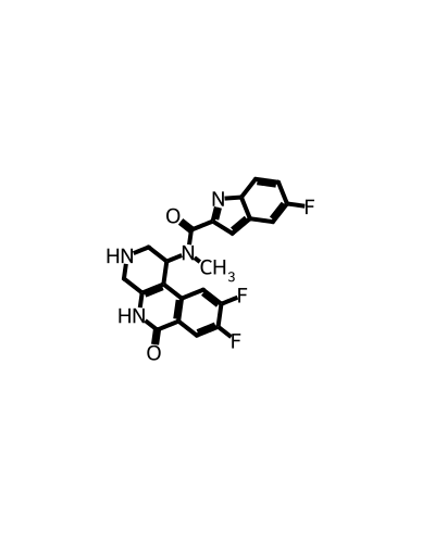 CN(C(=O)C1=NC2C=CC(F)=CC2=C1)C1CNCc2[nH]c(=O)c3cc(F)c(F)cc3c21